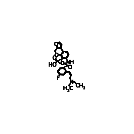 CCN(CC)C/C=C\c1cc(F)ccc1S(=O)(=O)Nc1ccc2c(c1OC(=O)O)OCc1occc1-2